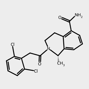 C[C@H]1c2cccc(C(N)=O)c2CCN1C(=O)Cc1c(Cl)cccc1Cl